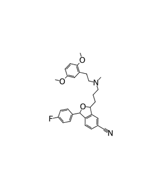 COc1ccc(OC)c(CCN(C)CCCC2OC(c3ccc(F)cc3)c3ccc(C#N)cc32)c1